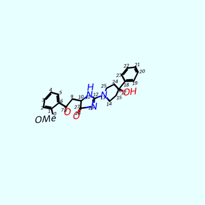 COc1ccccc1C(=O)CC1NC(N2CCC(O)(c3ccccc3)CC2)=NC1=O